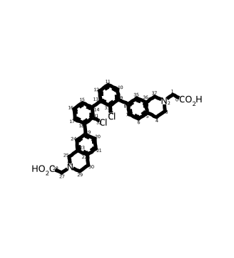 O=C(O)CN1CCc2ccc(-c3cccc(-c4cccc(-c5ccc6c(c5)CN(CC(=O)O)CC6)c4Cl)c3Cl)cc2C1